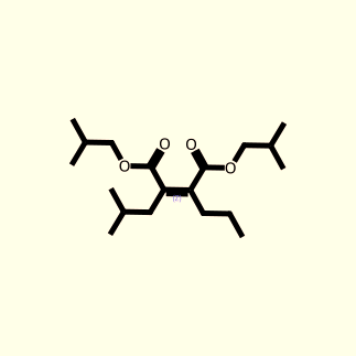 CCC/C(C(=O)OCC(C)C)=C(\CC(C)C)C(=O)OCC(C)C